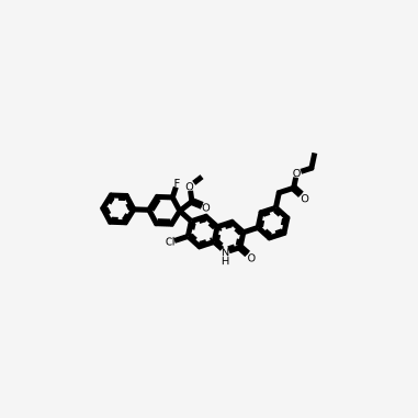 CCOC(=O)Cc1cccc(-c2cc3cc(C4(C(=O)OC)C=CC(c5ccccc5)=CC4F)c(Cl)cc3[nH]c2=O)c1